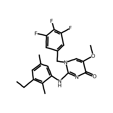 CCc1cc(C)cc(Nc2nc(=O)c(OC)cn2Cc2cc(F)c(F)c(F)c2)c1C